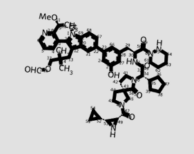 CCn1c(-c2cccnc2[C@H](C)OC)c(CC(C)(C)COC=O)c2cc(-c3cc(O)cc(C[C@H](NC(=O)[C@H](C4CCCC4)N4CC[C@]5(CCN(C(=O)[C@@H]6N[C@@H]6C6CC6)C5)C4=O)C(=O)N4CCCCN4)c3)ccc21